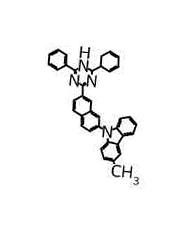 Cc1ccc2c(c1)c1ccccc1n2-c1ccc2ccc(C3=NC(C4C=CC=CC4)NC(c4ccccc4)=N3)cc2c1